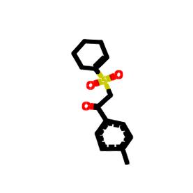 Cc1ccc(C(=O)CS(=O)(=O)C2=CCCCC2)cc1